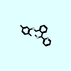 COC(c1ccccn1)c1ccccc1COc1cc(C)ccc1C